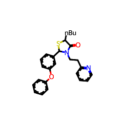 CCCCC1SC(c2cccc(Oc3ccccc3)c2)N(CCc2ccccn2)C1=O